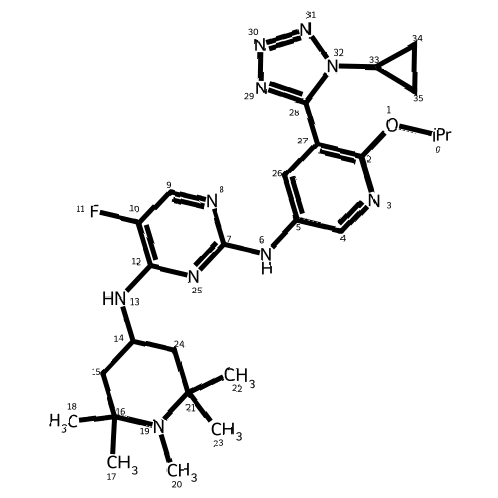 CC(C)Oc1ncc(Nc2ncc(F)c(NC3CC(C)(C)N(C)C(C)(C)C3)n2)cc1-c1nnnn1C1CC1